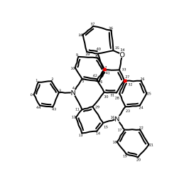 c1ccc(N(c2ccccc2)c2cccc(N(c3ccccc3)c3ccccc3)c2-c2ccc3oc4ccccc4c3c2)cc1